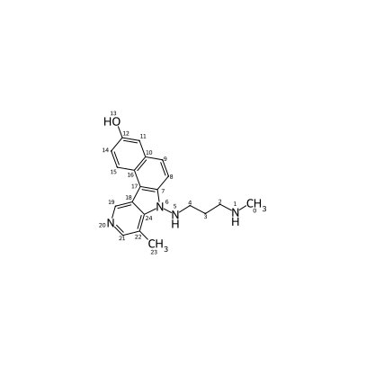 CNCCCNn1c2ccc3cc(O)ccc3c2c2cncc(C)c21